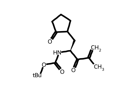 C=C(C)C(=O)[C@H](CC1CCCC1=O)NC(=O)OC(C)(C)C